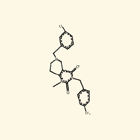 Cn1c2c(c(=O)n(Cc3ccc(C(F)(F)F)cc3)c1=O)CN(Cc1cccc(Cl)c1)CC2